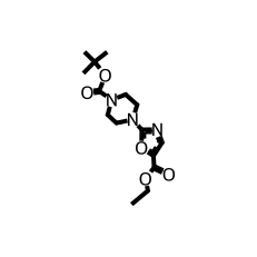 CCOC(=O)c1cnc(N2CCN(C(=O)OC(C)(C)C)CC2)o1